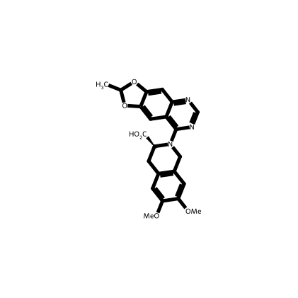 COc1cc2c(cc1OC)CN(c1ncnc3cc4c(cc13)OC(C)O4)[C@H](C(=O)O)C2